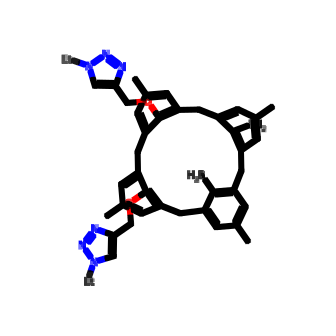 Bc1c2cc(C)cc1Cc1cc(C)cc(c1OCc1cn(CC)nn1)Cc1cc(C)cc(c1OCc1cn(CC)nn1)Cc1cc(C)cc(c1B)C2